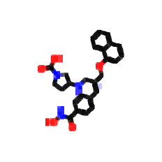 O=C(NO)c1ccc(/C=C(\CNC2CCN(C(=O)O)C2)COc2cccc3ccccc23)cc1